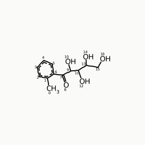 Cc1ccccc1C(=O)C(O)C(O)C(O)CO